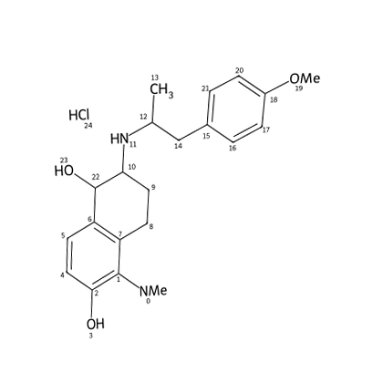 CNc1c(O)ccc2c1CCC(NC(C)Cc1ccc(OC)cc1)C2O.Cl